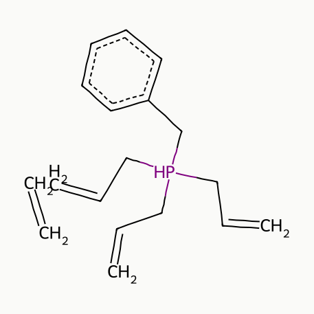 C=C.C=CC[PH](CC=C)(CC=C)Cc1ccccc1